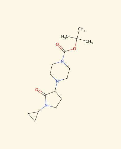 CC(C)(C)OC(=O)N1CCN(C2CCN(C3CC3)C2=O)CC1